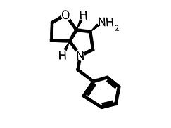 N[C@H]1CN(Cc2ccccc2)[C@@H]2CCO[C@@H]21